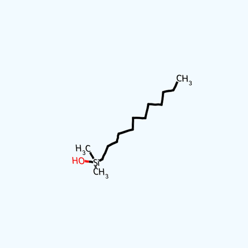 CCCCCCCCCCCC[Si](C)(C)O